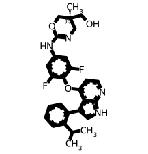 CC(C)c1ccccc1-c1c[nH]c2nccc(Oc3c(F)cc(NC4=NC[C@](C)(CO)CO4)cc3F)c12